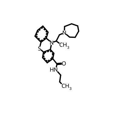 CCCNC(=O)c1ccc2c(c1)N(C(C)CN1CCCCCC1)c1ccccc1S2